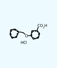 Cl.O=C(O)c1cccc(OCc2ccccc2)c1